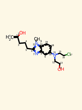 C=C(O)CCCc1nc2cc(N(CCO)CCCl)ccc2n1C